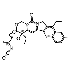 CCc1c2c(nc3ccc(C)cc13)-c1cc3c(c(=O)n1C2)COC(=O)[C@@]3(CC)OC(=O)[C@H](C)N=C=O